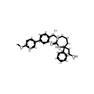 COc1ccc(-c2ccc([C@H](C)N3CCCC(CCO)(c4ccccc4)NC3=O)cc2)cn1